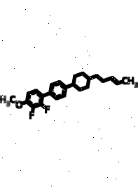 C/C=C/CCC1CCC(c2ccc(-c3ccc(OC)c(F)c3F)cc2)CC1